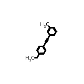 CCc1ccc(C#Cc2c[c]cc(C)c2)cc1